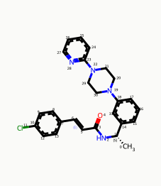 C[C@H](NC(=O)/C=C/c1ccc(Cl)cc1)c1cccc(N2CCN(c3ccccn3)CC2)c1